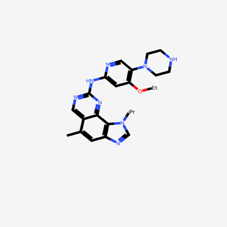 CCOc1cc(Nc2ncc3c(C)cc4ncn(C(C)C)c4c3n2)ncc1N1CCNCC1